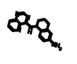 Nc1ccc2c(c1)CCCC2Nc1ncnc2cccnc12